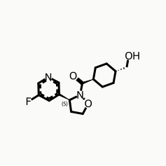 O=C([C@H]1CC[C@H](CO)CC1)N1OCC[C@H]1c1cncc(F)c1